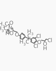 CC(=O)N(CC(O)COc1ccc(C(C)(C)c2cc(Cl)c(OCC(O)CCl)c(Cl)c2)cc1)C(C)=O